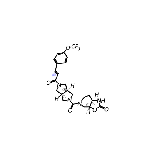 O=C1N[C@@H]2CCN(C(=O)N3C[C@@H]4CN(C(=O)/C=C/c5ccc(OC(F)(F)F)cc5)C[C@H]4C3)C[C@H]2O1